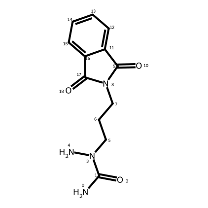 NC(=O)N(N)CCCN1C(=O)c2ccccc2C1=O